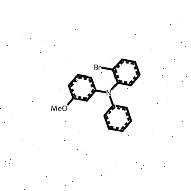 COc1cccc(N(c2ccccc2)c2ccccc2Br)c1